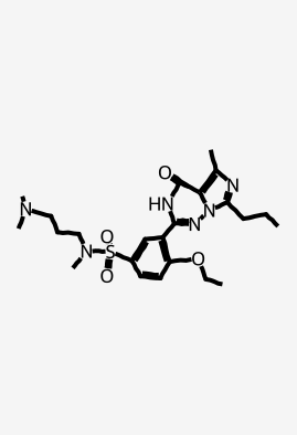 CCCc1nc(C)c2c(=O)[nH]c(-c3cc(S(=O)(=O)N(C)CCCN(C)C)ccc3OCC)nn12